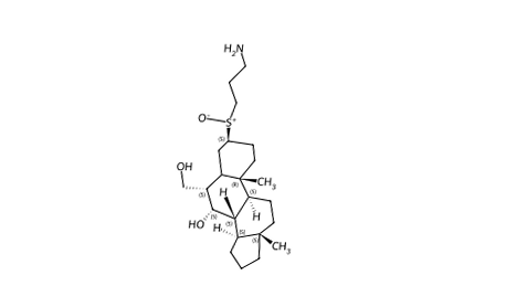 C[C@@]12CCC[C@H]1[C@@H]1[C@H](O)[C@H](CO)C3C[C@@H]([S+]([O-])CCCN)CC[C@]3(C)[C@H]1CC2